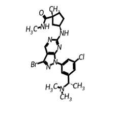 CNC(=O)[C@]1(C)CC[C@@H](Nc2ncc3c(Br)nn(-c4cc(Cl)cc([C@H](C)N(C)C)c4)c3n2)C1